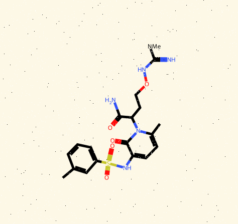 CNC(=N)NOCCC(C(N)=O)n1c(C)ccc(NS(=O)(=O)c2cccc(C)c2)c1=O